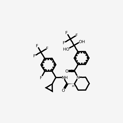 O=C(NC(c1ccc(C(F)(F)F)cc1F)C1CC1)[C@H]1CCCCN1C(=O)c1cccc(C(O)(O)C(F)(F)F)c1